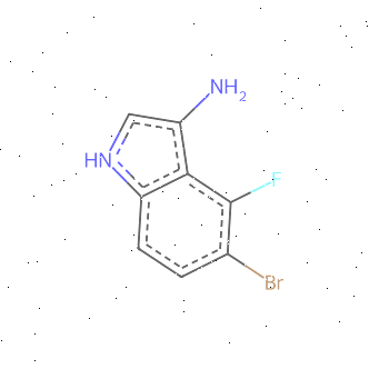 Nc1c[nH]c2ccc(Br)c(F)c12